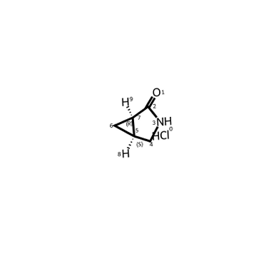 Cl.O=C1NC[C@H]2C[C@@H]12